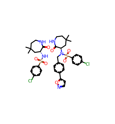 CC1(C)CCNC(=O)[C@H](N(Cc2ccc(-c3ccno3)cc2)S(=O)(=O)c2ccc(Cl)cc2)C1.CC1(C)CCNC(=O)[C@H](NS(=O)(=O)c2ccc(Cl)cc2)C1